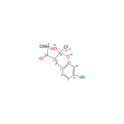 COC(=O)C1=Cc2ccc(Br)cc2OC1(O)C(F)(F)F